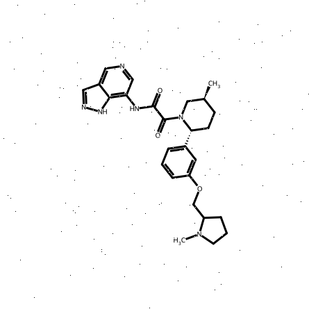 C[C@H]1CC[C@H](c2cccc(OCC3CCCN3C)c2)N(C(=O)C(=O)Nc2cncc3cn[nH]c23)C1